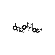 O=C(Nc1ccc2c(c1)OCC(=O)N2Cc1c(F)cccc1F)Nc1ccc2cc[nH]c2c1